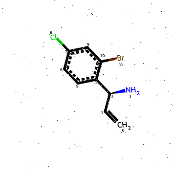 C=C[C@H](N)c1ccc(Cl)cc1Br